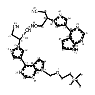 C[Si](C)(C)CCOCn1ccc2c(-c3cnn(C(CC#N)CC#N)c3)ncnc21.N#CCC(CC#N)n1cc(-c2ncnc3[nH]ccc23)cn1